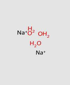 O.O.O.[Na+].[Na+]